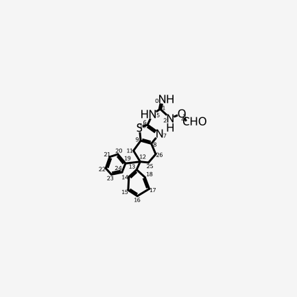 N=C(NOC=O)Nc1nc2c(s1)CC(c1ccccc1)(c1ccccc1)CC2